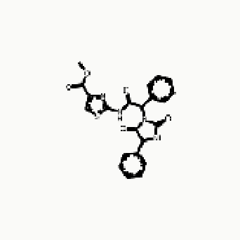 COC(=O)c1csc(NC(=O)C(c2ccccc2)N2C(=O)NC(c3ccccc3)C2=O)n1